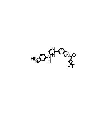 O=C(C1CC(F)(F)C1)N1Cc2ccc(-c3nccc(Nc4ccc5[nH]ncc5c4)n3)cc2C1